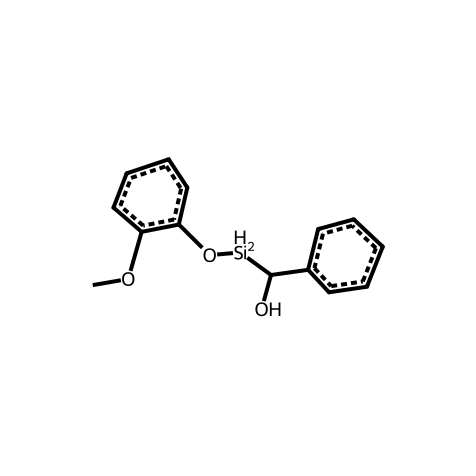 COc1ccccc1O[SiH2]C(O)c1ccccc1